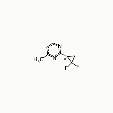 Cc1ccnc([C@@H]2CC2(F)F)n1